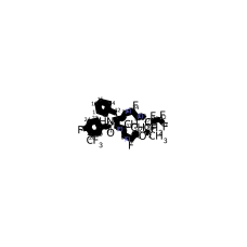 C=C(C)OC(=C)/C(F)=C\C=C\[C@@](Cc1ccccc1)(NC(=O)c1ccc(F)c(C(F)(F)F)c1)C(=C)/C=C(F)\C=C\OC(F)(F)C(F)F